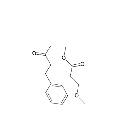 CC(=O)CCc1ccccc1.COCCC(=O)OC